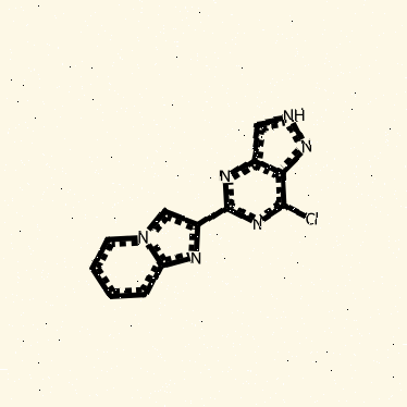 Clc1nc(-c2cn3ccccc3n2)nc2c[nH]nc12